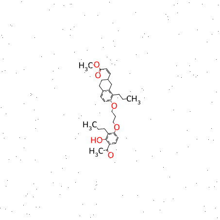 CCCc1c(OCCCOc2ccc3c(c2CCC)CC(/C=C\C(=O)OC)CC3)ccc(C(C)=O)c1O